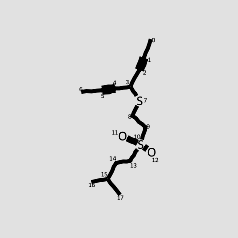 CC#CC(C#CC)SCCS(=O)(=O)CCC(C)C